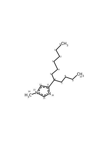 CCCCCCC(CCCC)c1cn(C)cn1